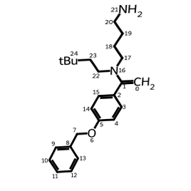 C=C(c1ccc(OCc2ccccc2)cc1)N(CCCCN)CCC(C)(C)C